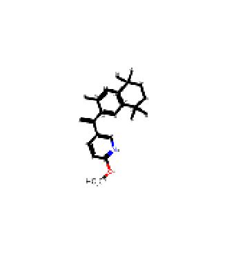 C=C(c1ccc(OC(=O)O)nc1)c1cc2c(cc1C)C(C)(C)CCC2(C)C